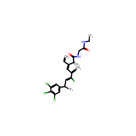 C=C/C(=C/C(=C\C)C(/F)=C/C(c1cc(Cl)c(Cl)c(Cl)c1)C(F)(F)F)C(=C)C(=O)NCC(=O)NCC(F)(F)F